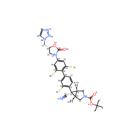 CC(C)(C)OC(=O)N1C[C@@H]2[C@H](C1)[C@@]2(C#N)c1ccc(-c2c(F)cc(N3C[C@H](Cn4ccnn4)OC3=O)cc2F)cc1F